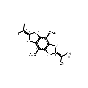 CC(=O)Oc1c2c(c(OC(C)=O)c3c1SC(=C(C#N)C#N)S3)SC(=C(C)C)S2